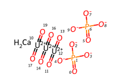 O=P([O-])([O-])[O-].O=P([O-])([O-])[O-].[CaH2].[O]=[U+2]=[O].[O]=[U+2]=[O].[O]=[U+2]=[O]